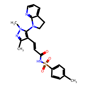 Cc1ccc(S(=O)(=O)NC(=O)C=Cc2c(C)nn(C)c2N2CCc3cccnc32)cc1